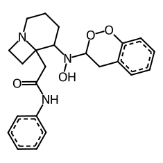 O=C(CC12CCN1CCCC2N(O)C1Cc2ccccc2OO1)Nc1ccccc1